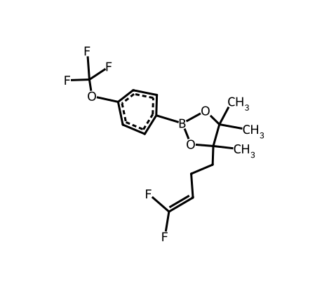 CC1(C)OB(c2ccc(OC(F)(F)F)cc2)OC1(C)CCC=C(F)F